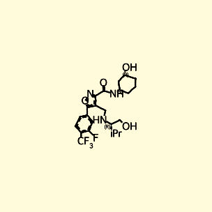 CC(C)[C@H](CO)NCc1c(C(=O)N[C@H]2CCC[C@@H](O)C2)noc1-c1ccc(C(F)(F)F)c(F)c1